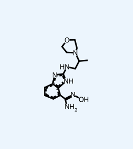 CC(CNc1nc2cccc(C(N)=NO)c2[nH]1)N1CCOCC1